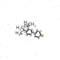 C=C(C)c1cc(-c2ccc(F)cc2)ccc1C(C)C